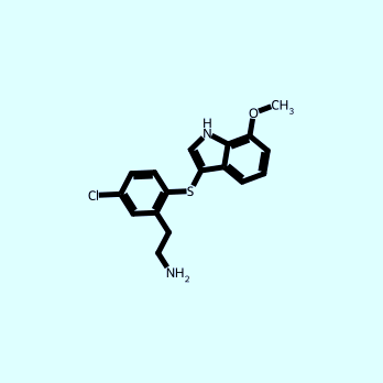 COc1cccc2c(Sc3ccc(Cl)cc3CCN)c[nH]c12